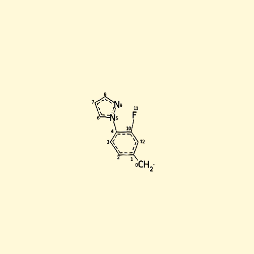 [CH2]c1ccc(-n2cccn2)c(F)c1